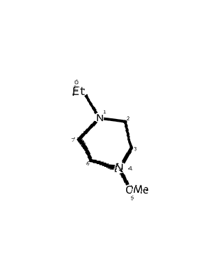 [CH2]CN1CCN(OC)CC1